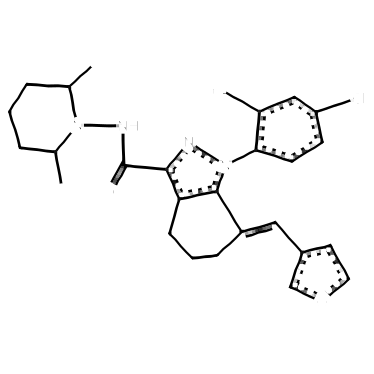 CC1CCCC(C)N1NC(=O)c1nn(-c2ccc(Cl)cc2Cl)c2c1CCC/C2=C\c1ccoc1